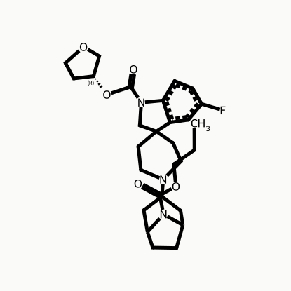 CCCOC(=O)N1C2CCC1CC(N1CCC3(CC1)CN(C(=O)O[C@@H]1CCOC1)c1ccc(F)cc13)C2